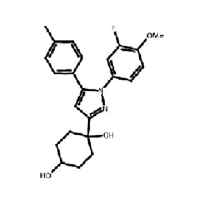 COc1ccc(-n2nc(C3(O)CCC(O)CC3)cc2-c2ccc(C)cc2)cc1F